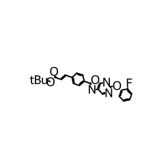 CC(C)(C)OC(=O)/C=C/c1ccc(-c2nc3cnc(Oc4ccccc4F)nc3o2)cc1